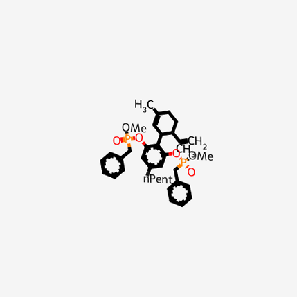 C=C(C)C1CCC(C)=CC1c1c(OP(=O)(Cc2ccccc2)OC)cc(CCCCC)cc1OP(=O)(Cc1ccccc1)OC